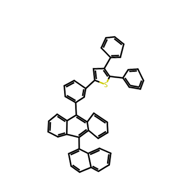 C1=C=C(c2sc(-c3cccc(-c4c5ccccc5c(-c5cccc6ccccc56)c5ccccc45)c3)cc2-c2ccccc2)C=CC=1